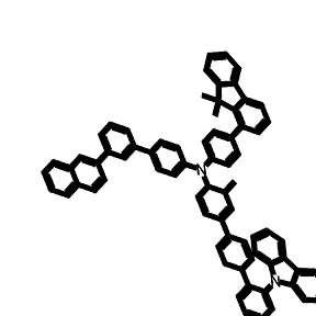 CC1C=C(C2=CCC(c3ccccc3-n3c4ccccc4c4ccccc43)C=C2)C=CC1N(c1ccc(-c2cccc(-c3ccc4ccccc4c3)c2)cc1)c1ccc(-c2cccc3c2C(C)(C)c2ccccc2-3)cc1